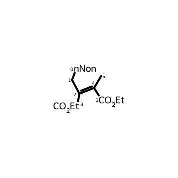 CCCCCCCCCC/C(C(=O)OCC)=C(\C)C(=O)OCC